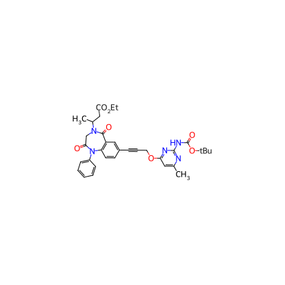 CCOC(=O)CC(C)N1CC(=O)N(c2ccccc2)c2ccc(C#CCOc3cc(C)nc(NC(=O)OC(C)(C)C)n3)cc2C1=O